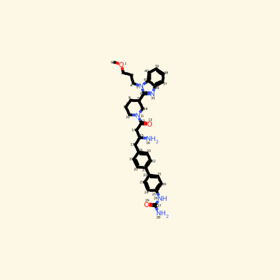 COCCCn1c(C2CCCN(C(=O)CC(N)Cc3ccc(-c4ccc(NC(N)=O)cc4)cc3)C2)nc2ccccc21